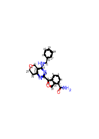 NC(=O)c1cccc2c(-c3nc4c(c(NCc5ccccc5)n3)COCC4)occ12